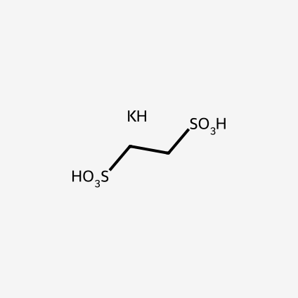 O=S(=O)(O)CCS(=O)(=O)O.[KH]